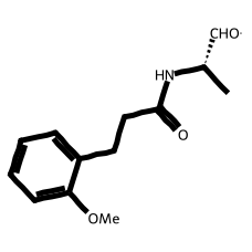 COc1ccccc1CCC(=O)N[C@@H](C)[C]=O